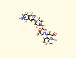 C=Nc1c(/C=C\C)c(N2C[C@H](CN3CCN(c4cc5c(cn4)CCNC5)CC3)O[C@H](C)C2)cc(=O)n1C